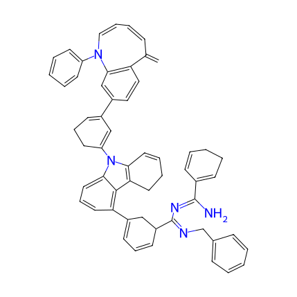 C=C1/C=C\C=C/N(c2ccccc2)c2cc(C3=CCCC(n4c5c(c6c(C7=CC=CC(C(/N=C(\N)C8=CCCC=C8)=N/Cc8ccccc8)C7)cccc64)CCC=C5)=C3)ccc21